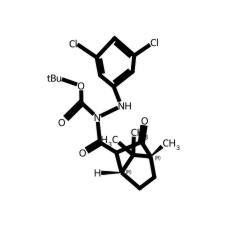 CC(C)(C)OC(=O)N(Nc1cc(Cl)cc(Cl)c1)C(=O)C1C(=O)[C@]2(C)CC[C@H]1C2(C)C